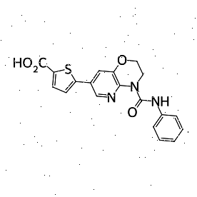 O=C(O)c1ccc(-c2cnc3c(c2)OCCN3C(=O)Nc2ccccc2)s1